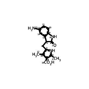 Cc1[nH]c(CC2C(=O)Nc3ccc(N)cc32)c(C)c1C(=O)O